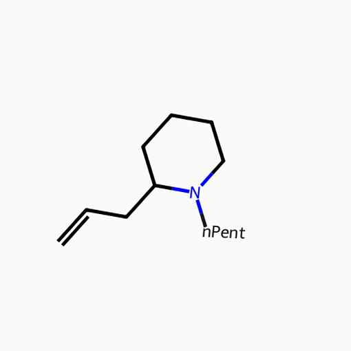 C=CCC1CCCCN1CCCCC